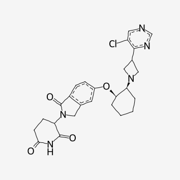 O=C1CCC(N2Cc3cc(O[C@@H]4CCCC[C@@H]4N4CC(c5ncncc5Cl)C4)ccc3C2=O)C(=O)N1